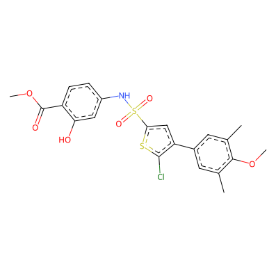 COC(=O)c1ccc(NS(=O)(=O)c2cc(-c3cc(C)c(OC)c(C)c3)c(Cl)s2)cc1O